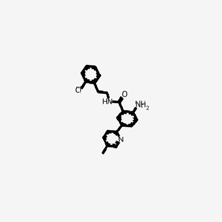 Cc1ccc(-c2ccc(N)c(C(=O)NCCc3ccccc3Cl)c2)nc1